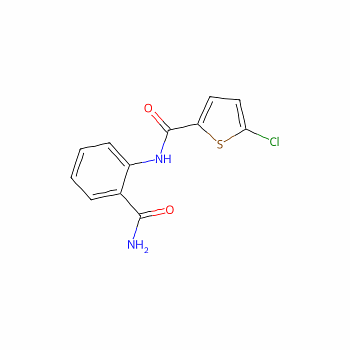 NC(=O)c1ccccc1NC(=O)c1ccc(Cl)s1